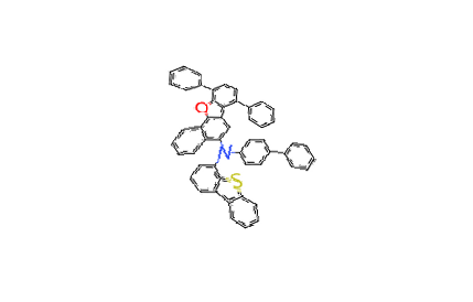 c1ccc(-c2ccc(N(c3cc4c(oc5c(-c6ccccc6)ccc(-c6ccccc6)c54)c4ccccc34)c3cccc4c3sc3ccccc34)cc2)cc1